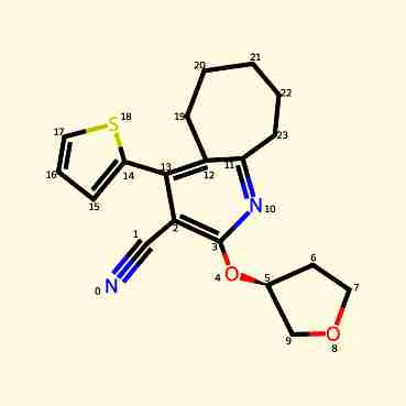 N#Cc1c(O[C@H]2CCOC2)nc2c(c1-c1cccs1)CCCCC2